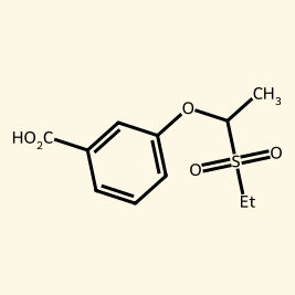 CCS(=O)(=O)C(C)Oc1cccc(C(=O)O)c1